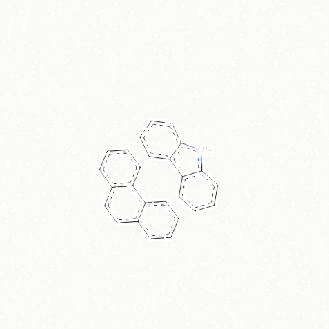 c1ccc2c(c1)[nH]c1ccccc12.c1ccc2c(c1)ccc1ccccc12